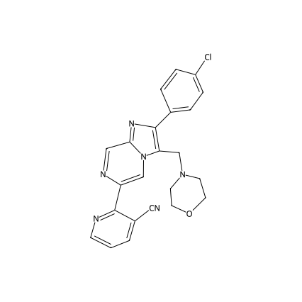 N#Cc1cccnc1-c1cn2c(CN3CCOCC3)c(-c3ccc(Cl)cc3)nc2cn1